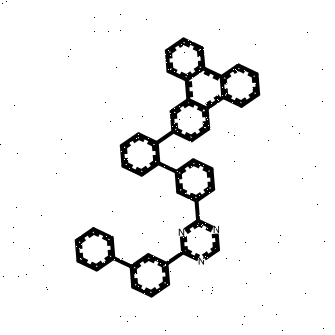 c1ccc(-c2cccc(-c3ncnc(-c4cccc(-c5ccccc5-c5ccc6c7ccccc7c7ccccc7c6c5)c4)n3)c2)cc1